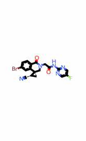 N#C[C@H]1C[C@]12CN(CC(=O)Nc1ncc(F)cn1)C(=O)c1ccc(Br)cc12